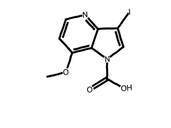 COc1ccnc2c(I)cn(C(=O)O)c12